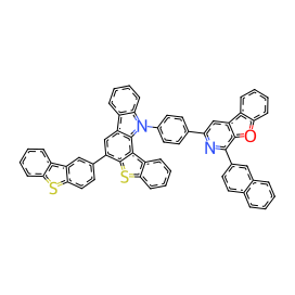 c1ccc2cc(-c3nc(-c4ccc(-n5c6ccccc6c6cc(-c7ccc8sc9ccccc9c8c7)c7sc8ccccc8c7c65)cc4)cc4c3oc3ccccc34)ccc2c1